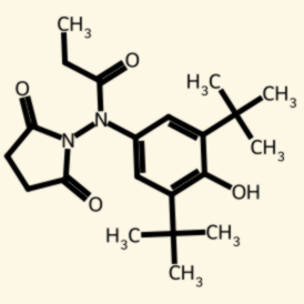 CCC(=O)N(c1cc(C(C)(C)C)c(O)c(C(C)(C)C)c1)N1C(=O)CCC1=O